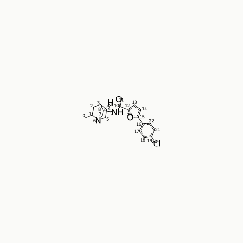 CC1CC2CCN1C[C@@H]2NC(=O)c1ccc(-c2ccc(Cl)cc2)o1